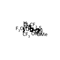 CCN(C(=O)N[C@@H](CCC(F)(F)F)C(F)(F)F)[C@@H](c1cc(-c2cc3scnc3c(OC)n2)c(OC)cn1)C(F)(F)F